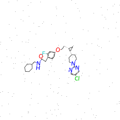 O=C(Cc1ccc(OCC[C@@H]2C[C@@H]2C2CCN(c3ncc(Cl)cn3)CC2)cc1F)NCC1CCCCC1